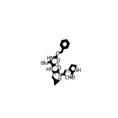 CC(C)(C)C(NC(=O)OCc1ccccc1)C(=O)N[C@@H](CC1CC1)C(=O)N[C@H](C=O)C[C@@H]1CCNC1=O